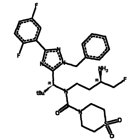 CC(C)(C)[C@H](c1nc(-c2cc(F)ccc2F)nn1Cc1ccccc1)N(CC[C@@H](N)CF)C(=O)N1CCS(=O)(=O)CC1